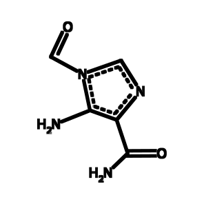 NC(=O)c1ncn(C=O)c1N